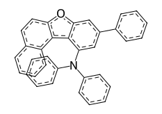 c1ccc(-c2cc(N(c3ccccc3)c3ccccc3)c3c(c2)oc2ccc4ccccc4c23)cc1